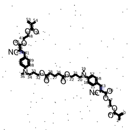 C=C(C)C(=O)OCCOC(=O)/C(C#N)=C/c1ccc(N(C)CCCOC(=O)CCCC(=O)OCCCN(C)c2ccc(/C=C(\C#N)C(=O)OCCOC(=O)C(=C)C)cc2)cc1